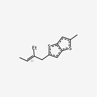 C/C=C(\CC)Cc1cc2sc(C)cc2s1